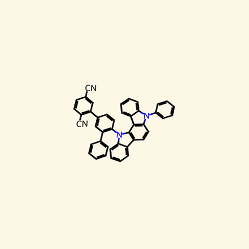 N#Cc1ccc(C#N)c(-c2ccc(-n3c4ccccc4c4ccc5c(c6ccccc6n5-c5ccccc5)c43)c(-c3ccccc3)c2)c1